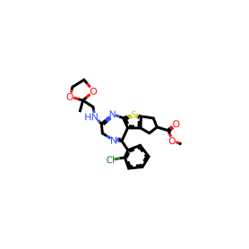 COC(=O)C1Cc2sc3c(c2C1)C(c1ccccc1Cl)=NCC(NCC1(C)OCCO1)=N3